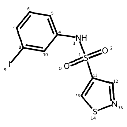 O=S(=O)(Nc1cccc(I)c1)c1cnsc1